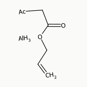 C=CCOC(=O)CC(C)=O.[AlH3]